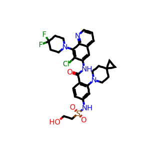 O=C(Nc1cc2cccnc2c(N2CCC(F)(F)CC2)c1Cl)c1ccc(NS(=O)(=O)CCO)cc1N1CCC2(CC1)CC2